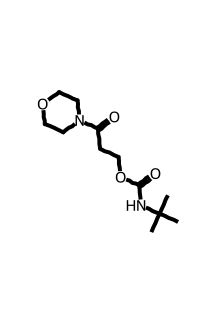 CC(C)(C)NC(=O)OCCC(=O)N1CCOCC1